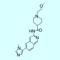 COCCN1CCC(C(=O)Nc2cc3cc(-c4cncn4C)ccc3cn2)CC1